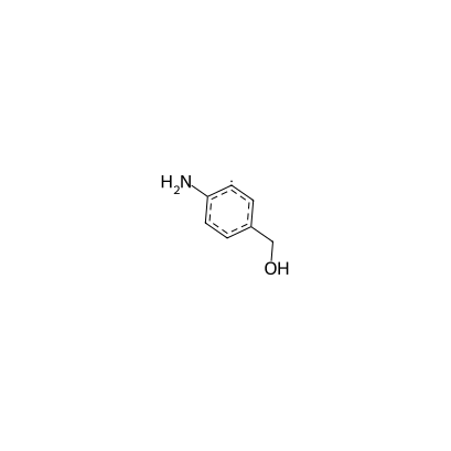 Nc1[c]cc(CO)cc1